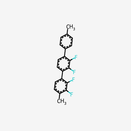 Cc1ccc(-c2ccc(-c3ccc(C)c(F)c3F)c(F)c2F)cc1